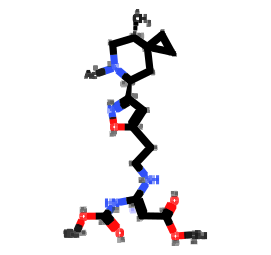 CC(=O)N1C[C@H](C)C2(CC2)C[C@H]1c1cc(CCN/C(=C\C(=O)OC(C)(C)C)NC(=O)OC(C)(C)C)on1